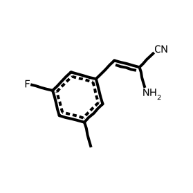 Cc1cc(F)cc(C=C(N)C#N)c1